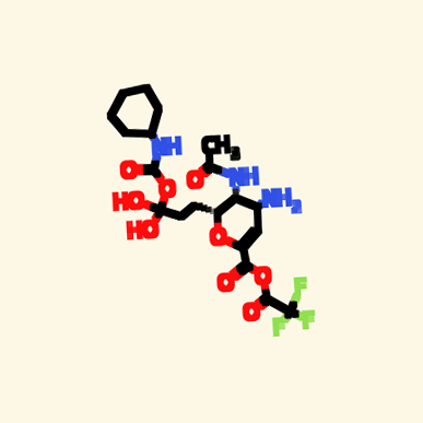 CC(=O)N[C@@H]1[C@@H](N)C=C(C(=O)OC(=O)C(F)(F)F)O[C@@H]1CCC(O)(O)OC(=O)NC1CCCCC1